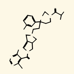 Cc1ncnc(C)c1C(=O)N1C=C2CN(CCC3(c4cccc(F)c4)CCN(C(=O)C(C)C)CC3)CC2C1